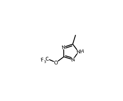 Cc1nc(OC(F)(F)F)n[nH]1